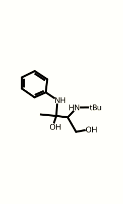 CC(C)(C)NC(CO)C(C)(O)Nc1ccccc1